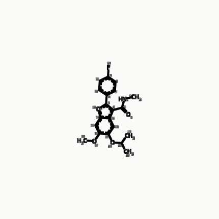 CNC(=O)c1c(-c2ccc(F)cc2)oc2cc(OC)c(OC(C)C)cc12